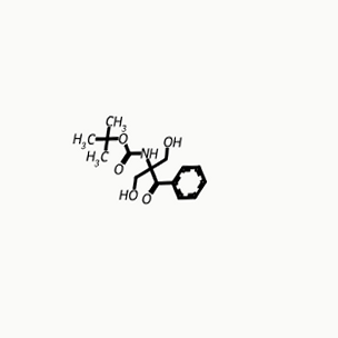 CC(C)(C)OC(=O)NC(CO)(CO)C(=O)c1ccccc1